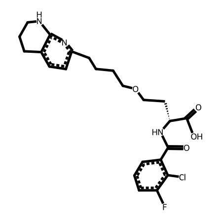 O=C(N[C@H](CCOCCCCc1ccc2c(n1)NCCC2)C(=O)O)c1cccc(F)c1Cl